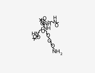 CC(=O)NCCCC[C@H](NC(=O)[C@H](CCCCNC(=O)OC(C)(C)C)NC(=O)CCOCCOCCOCCN)C(=O)OC(C)(C)C